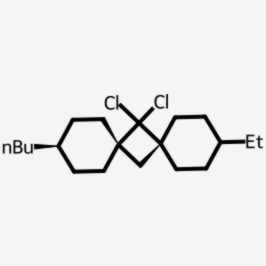 CCCC[C@H]1CC[C@]2(CC1)C[C@@]1(CCC(CC)CC1)C2(Cl)Cl